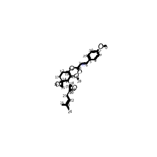 COc1ccc(/C=C/C(=O)O[C@@H]2CC[C@]3(CO3)C([C@@H]3O[C@H]3CC=C(C)C)[C@@H]2OC)cc1